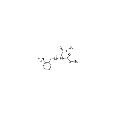 CC(C)(C)OC(=O)N[C@@H](CNCc1ccccc1[N+](=O)[O-])C(=O)OC(C)(C)C